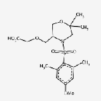 COc1cc(C)c(S(=O)(=O)N2CC(C)(C)OCC2COCC(=O)O)c(C)c1